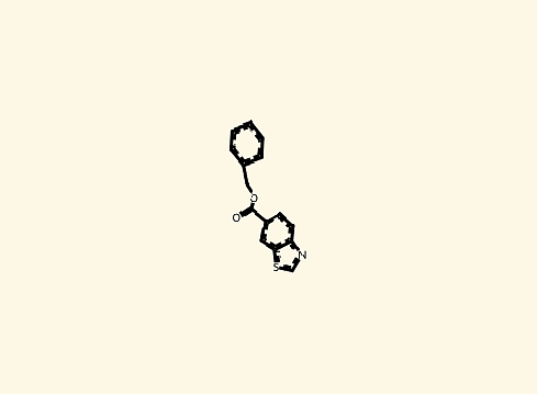 O=C(OCc1ccccc1)c1ccc2ncsc2c1